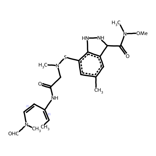 C/C=C(\C=C/N(C)C=O)NC(=O)CN(C)Sc1cc(C)cc2c1NNC2C(=O)N(C)OC